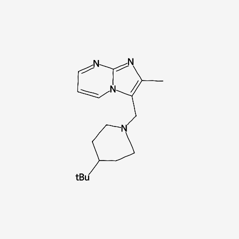 Cc1nc2ncccn2c1CN1CCC(C(C)(C)C)CC1